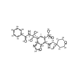 O=C(NS(=O)(=O)c1cc([N+](=O)[O-])c(NCC2(F)CCOCC2)c2ocnc12)c1ccccc1